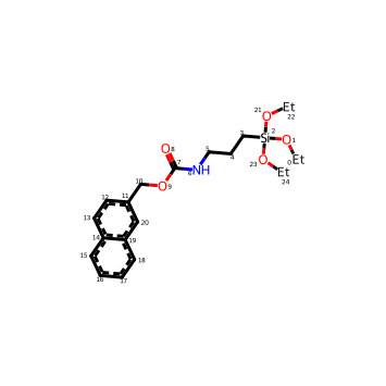 CCO[Si](CCCNC(=O)OCc1ccc2ccccc2c1)(OCC)OCC